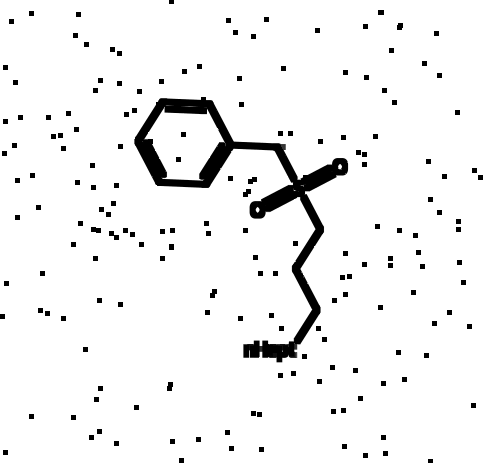 CCCCCCCCCCS(=O)(=O)[CH]c1ccccc1